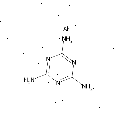 Nc1nc(N)nc(N)n1.[Al]